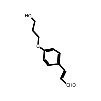 O=CC=Cc1ccc(OCCCO)cc1